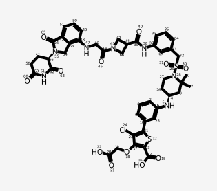 CC1(C)C[C@@H](Nc2cccc(-c3sc(C(=O)O)c(OCC(=O)O)c3Cl)c2)CCN1S(=O)(=O)Cc1cccc(NC(=O)C2CN(C(=O)CNc3cccc4c3CN([C@@H]3CCC(=O)NC3=O)C4=O)C2)c1